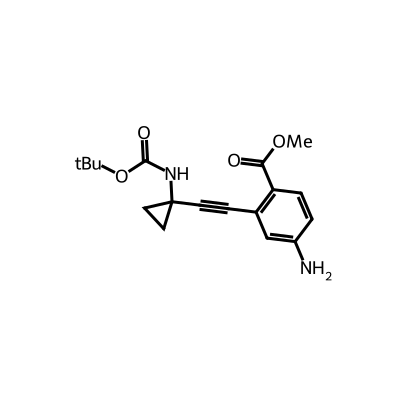 COC(=O)c1ccc(N)cc1C#CC1(NC(=O)OC(C)(C)C)CC1